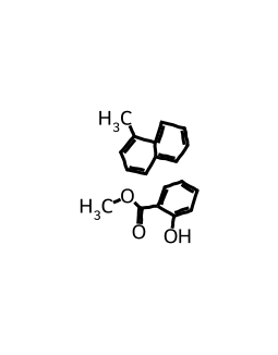 COC(=O)c1ccccc1O.Cc1cccc2ccccc12